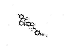 Cc1ccc(C(=O)Nc2ccc3c(c2)CCN3C(=O)Cc2cccc(N)n2)c(N2CCCCC2)c1